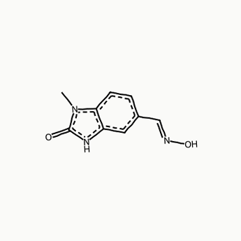 Cn1c(=O)[nH]c2cc(C=NO)ccc21